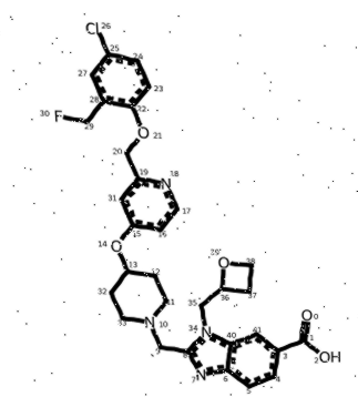 O=C(O)c1ccc2nc(CN3CCC(Oc4ccnc(COc5ccc(Cl)cc5CF)c4)CC3)n(CC3CCO3)c2c1